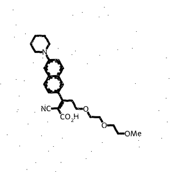 COCCOCCOCC/C(=C(/C#N)C(=O)O)c1ccc2cc(N3CCCCC3)ccc2c1